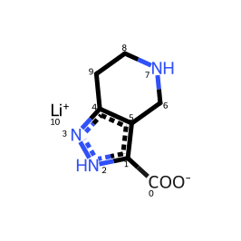 O=C([O-])c1[nH]nc2c1CNCC2.[Li+]